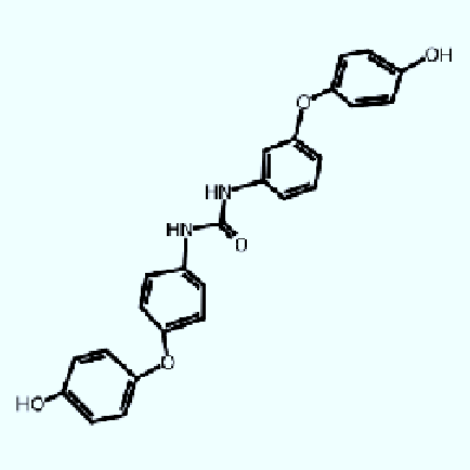 O=C(Nc1ccc(Oc2ccc(O)cc2)cc1)Nc1cccc(Oc2ccc(O)cc2)c1